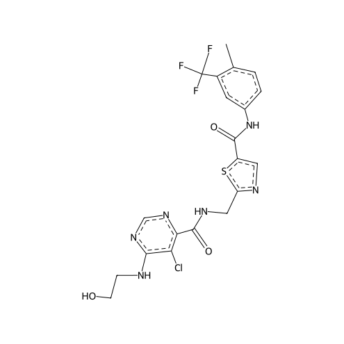 Cc1ccc(NC(=O)c2cnc(CNC(=O)c3ncnc(NCCO)c3Cl)s2)cc1C(F)(F)F